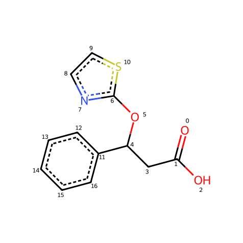 O=C(O)CC(Oc1nccs1)c1ccccc1